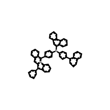 c1ccc(-c2c3ccccc3n3c(-c4ccc(N(c5ccc(-c6cccc7ccccc67)cc5)c5cc6ccccc6c6ccccc56)cc4)c4ccccc4cc23)cc1